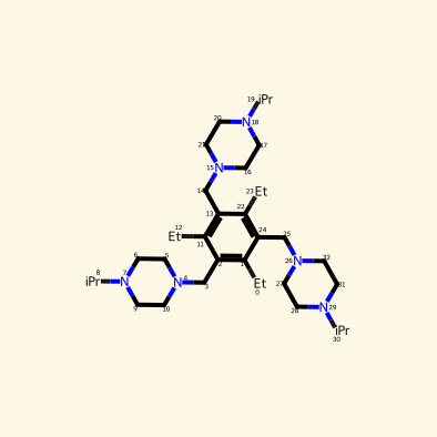 CCc1c(CN2CCN(C(C)C)CC2)c(CC)c(CN2CCN(C(C)C)CC2)c(CC)c1CN1CCN(C(C)C)CC1